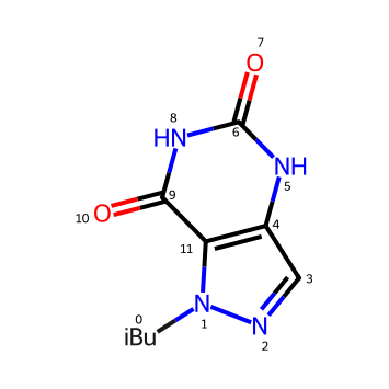 CCC(C)n1ncc2[nH]c(=O)[nH]c(=O)c21